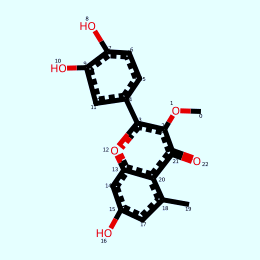 COc1c(-c2ccc(O)c(O)c2)oc2cc(O)cc(C)c2c1=O